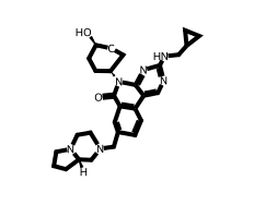 O=c1c2cc(CN3CCN4CCC[C@H]4C3)ccc2c2cnc(NCC3CC3)nc2n1[C@H]1CC[C@H](O)CC1